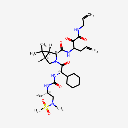 C=CCNC(=O)C(=O)C(CC=C)NC(=O)[C@@H]1[C@@H]2[C@H](CN1C(=O)[C@@H](NC(=O)N[C@H](CN(C)S(C)(=O)=O)C(C)(C)C)C1CCCCC1)C2(C)C